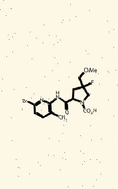 COCC1(F)CC(C(=O)Nc2nc(Br)ccc2C)N(C(=O)O)C1